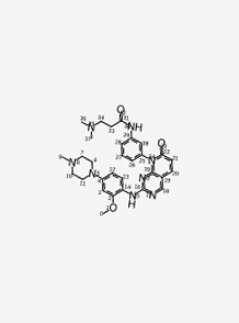 COc1cc(N2CCN(C)CC2)ccc1Nc1ncc2ccc(=O)n(-c3cccc(NC(=O)CCN(C)C)c3)c2n1